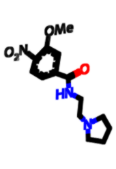 COc1cc(C(=O)NCCN2CCCC2)ccc1[N+](=O)[O-]